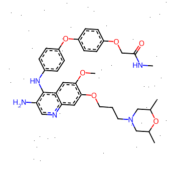 CNC(=O)COc1ccc(Oc2ccc(Nc3c(N)cnc4cc(OCCCN5CC(C)OC(C)C5)c(OC)cc34)cc2)cc1